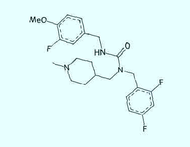 COc1ccc(CNC(=O)N(Cc2ccc(F)cc2F)CC2CCN(C)CC2)cc1F